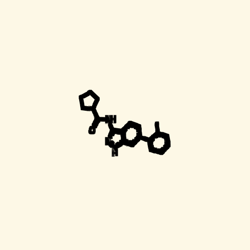 Cc1ccccc1-c1ccc2c(NC(=O)C3CCCC3)n[nH]c2c1